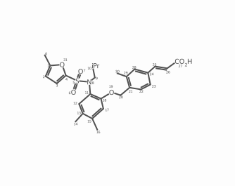 Cc1ccc(S(=O)(=O)N(CC(C)C)c2cc(C)c(C)cc2OCc2ccc(C=CC(=O)O)cc2C)o1